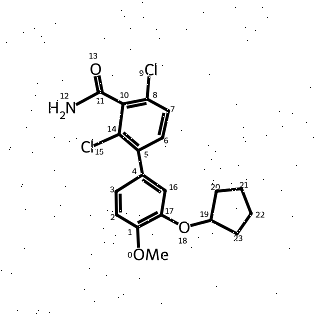 COc1ccc(-c2ccc(Cl)c(C(N)=O)c2Cl)cc1OC1CCCC1